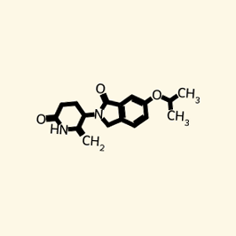 C=C1NC(=O)CCC1N1Cc2ccc(OC(C)C)cc2C1=O